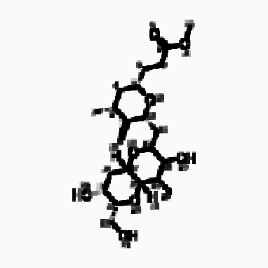 C=C1[C@H](C)C[C@H](CCC(=O)OC)O[C@@H]1C[C@@H]1O[C@H]2C[C@@H](O)[C@@H](CO)O[C@H]2[C@H](C)C1O